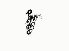 Cc1ccccc1Cn1nc(C(N)=O)c2c1C[C@@H](C)N(c1cnn(C3CCCCO3)c(=O)c1Cl)C2